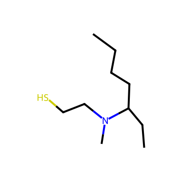 CCCCC(CC)N(C)CCS